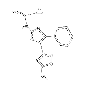 C=C(Nc1nc(-c2ccccc2)c(-c2noc(C)n2)s1)C1CC1